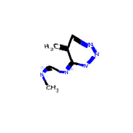 C=C1C=NN=N/C1=N/C=N\C